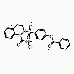 O=C(Oc1ccc(S(=O)(=O)N2CCc3ccccc3C2C(=O)NO)cc1)c1ccccc1